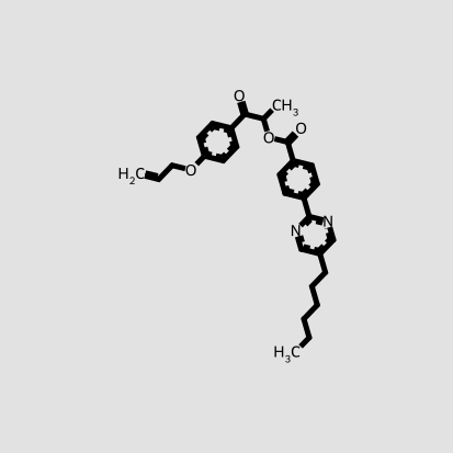 C=CCOc1ccc(C(=O)C(C)OC(=O)c2ccc(-c3ncc(CCCCCC)cn3)cc2)cc1